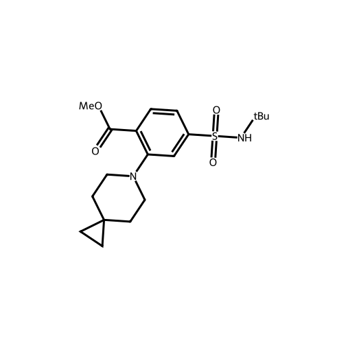 COC(=O)c1ccc(S(=O)(=O)NC(C)(C)C)cc1N1CCC2(CC1)CC2